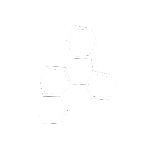 C1=Cc2c(cccc2-c2ccccc2-c2ccccc2)OC1